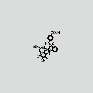 CCCCC(CC)Cn1c(O)c(/N=N/c2ccccc2S(=O)(=O)Nc2ccc(C(=O)O)cc2)c(C)c(C#N)c1=O